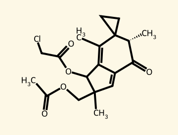 CC(=O)OCC1(C)C=C2C(=O)[C@@H](C)C3(CC3)C(C)=C2C1OC(=O)CCl